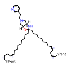 CCCCC/C=C\C/C=C\CCCCCCCCC1(CCCCCCCC/C=C\C/C=C\CCCCC)N[C@H]2CN(CCc3cccnc3)C[C@@H]2O1